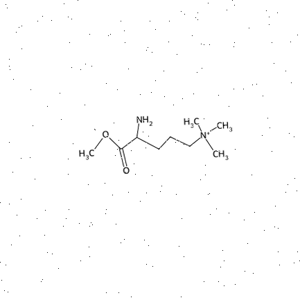 COC(=O)C(N)CCC[N+](C)(C)C